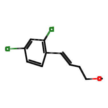 [O]CCC=Cc1ccc(Cl)cc1Cl